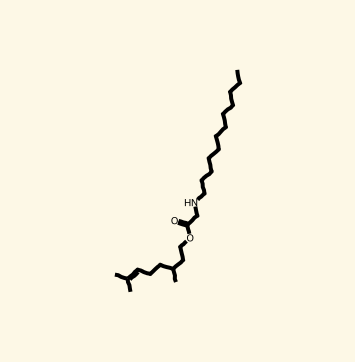 CCCCCCCCCCCCNCC(=O)OCCC(C)CCC=C(C)C